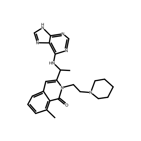 Cc1cccc2cc(C(C)Nc3ncnc4[nH]cnc34)n(CCN3CCCCC3)c(=O)c12